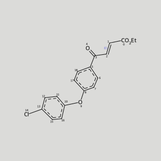 CCOC(=O)/C=C/C(=O)c1ccc(Oc2ccc(Cl)cc2)cc1